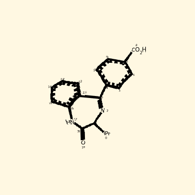 CC(C)C1N=C(c2ccc(C(=O)O)cc2)c2ccccc2NC1=O